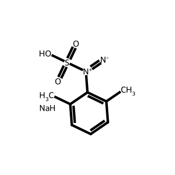 Cc1cccc(C)c1[N+](=[N-])S(=O)(=O)O.[NaH]